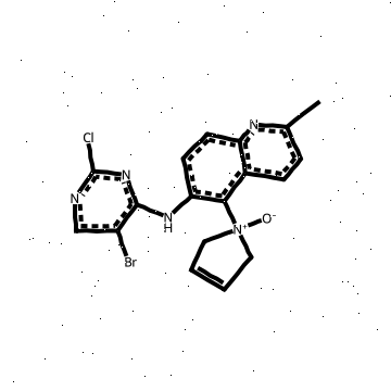 Cc1ccc2c([N+]3([O-])CC=CC3)c(Nc3nc(Cl)ncc3Br)ccc2n1